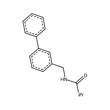 CC(C)C(=O)NCc1cccc(-c2ccccc2)c1